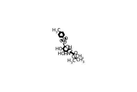 Cc1ccc(S(=O)(=O)OC[C@H]2O[C@@H]3SC(C(=O)OC(C)(C)C)=N[C@@H]3[C@@H](O)[C@H]2O)cc1